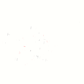 CCCCCCCC(=O)O[C@@H]1C(=O)C(C)=C2[C@H]1[C@@](C)(OC(C)=O)C[C@H](OC(=O)C(C)CC)[C@@]1(O)[C@H]2OC(=O)[C@@]1(C)O